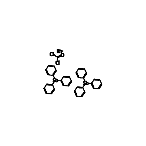 O=C(Cl)Cl.[Rh].c1cc[c]([Sb]([c]2ccccc2)[c]2ccccc2)cc1.c1cc[c]([Sb]([c]2ccccc2)[c]2ccccc2)cc1